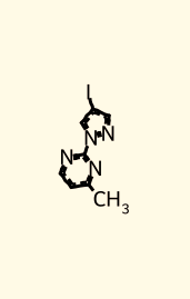 Cc1ccnc(-n2cc(I)cn2)n1